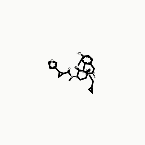 CN(C(=O)C1CC1c1ccoc1)[C@@H]1CC[C@@]2(O)[C@H]3Cc4ccc(O)c5c4[C@@]2(CCN3CC2CC2)[C@H]1O5